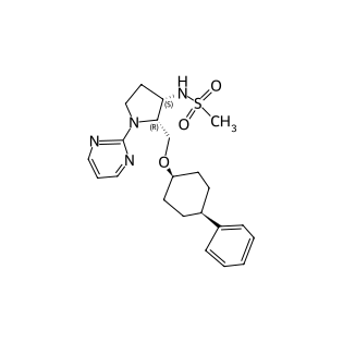 CS(=O)(=O)N[C@H]1CCN(c2ncccn2)[C@H]1CO[C@H]1CC[C@@H](c2ccccc2)CC1